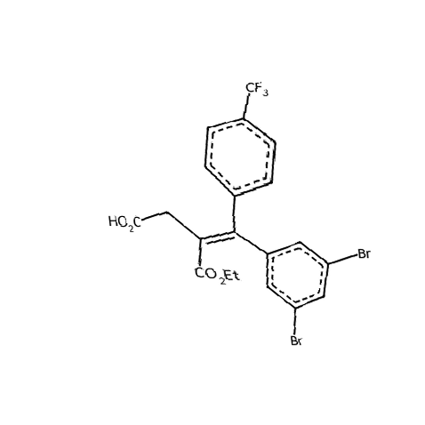 CCOC(=O)C(CC(=O)O)=C(c1ccc(C(F)(F)F)cc1)c1cc(Br)cc(Br)c1